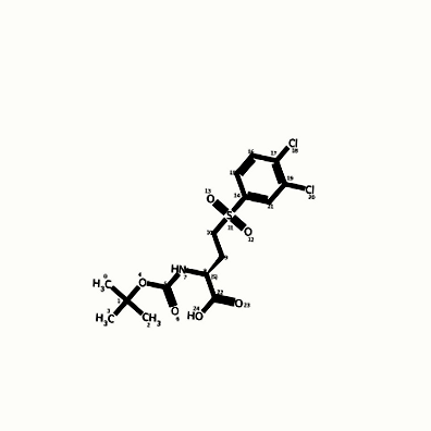 CC(C)(C)OC(=O)N[C@@H](CCS(=O)(=O)c1ccc(Cl)c(Cl)c1)C(=O)O